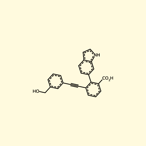 O=C(O)c1cccc(C#Cc2cccc(CO)c2)c1-c1ccc2cc[nH]c2c1